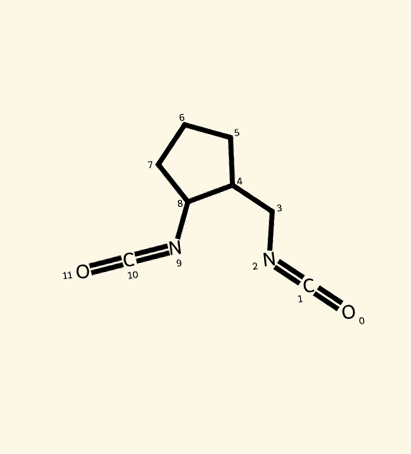 O=C=NCC1CCCC1N=C=O